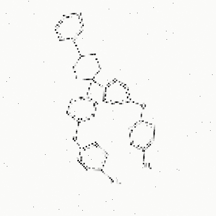 Nc1ccc(Oc2ccc(C3(c4ccc(Oc5ccc(N)cc5)cc4)CCC(c4ccccc4)CC3)cc2)cc1